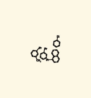 CC(C)c1cccc2ccccc12.CC(C)c1ccccc1.CCc1ccccc1.Cc1cccc(C(C)C)c1